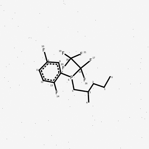 CCCC(C)CP(c1cc(F)ccc1F)C(F)(F)C(F)(F)F